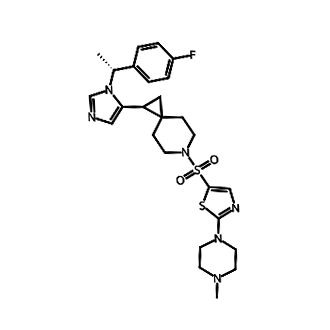 C[C@H](c1ccc(F)cc1)n1cncc1C1CC12CCN(S(=O)(=O)c1cnc(N3CCN(C)CC3)s1)CC2